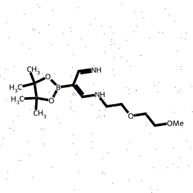 COCCOCCN/C=C(\C=N)B1OC(C)(C)C(C)(C)O1